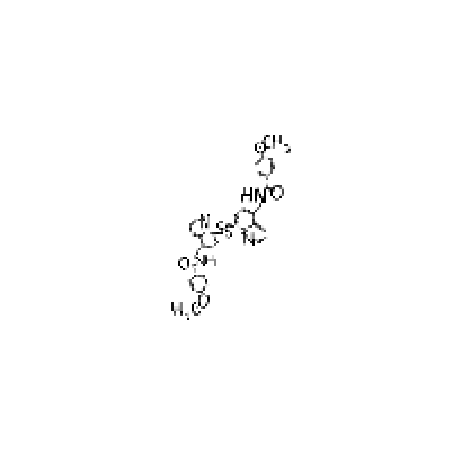 COc1ccc(C(=O)NCc2ccc(SSc3ccc(CNC(=O)c4ccc(OC)cc4)c4cccnc34)c3ncccc23)cc1